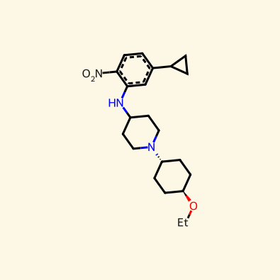 CCO[C@H]1CC[C@H](N2CCC(Nc3cc(C4CC4)ccc3[N+](=O)[O-])CC2)CC1